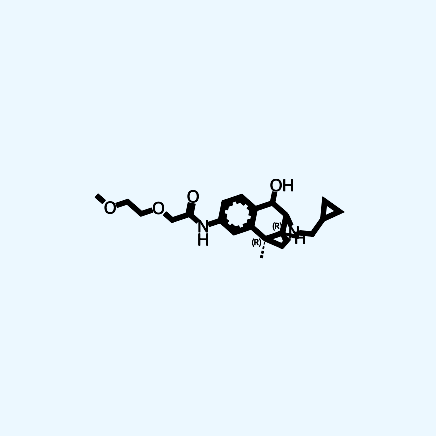 COCCOCC(=O)Nc1ccc2c(c1)[C@]1(C)CN(CC3CC3)C(C2O)[C@@H]1C